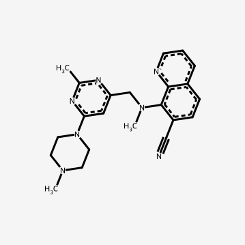 Cc1nc(CN(C)c2c(C#N)ccc3cccnc23)cc(N2CCN(C)CC2)n1